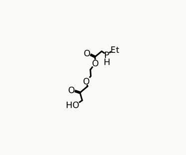 CCPCC(=O)OCCOCC(=O)CO